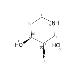 Cl.O[C@H]1CCNC[C@H]1F